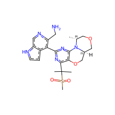 C[C@@H]1COC[C@H]2COc3c(nc(-c4c(CN)ncc5[nH]ccc45)nc3C(C)(C)S(C)(=O)=O)N21